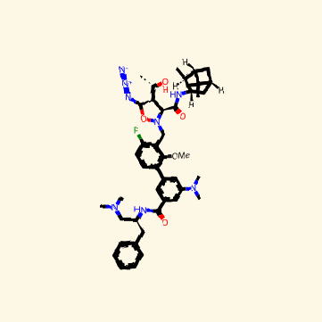 COc1c(-c2cc(C(=O)N[C@@H](Cc3ccccc3)CN(C)C)cc(N(C)C)c2)ccc(F)c1CN1OC(N=[N+]=[N-])[C@@H]([C@H](C)O)[C@H]1C(=O)N[C@H]1C[C@H]2C[C@@H]([C@@H]1C)C2(C)C